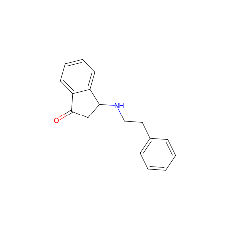 O=C1CC(NCCc2ccccc2)c2ccccc21